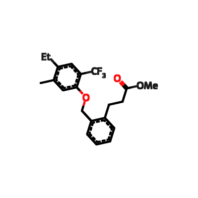 CCc1cc(C(F)(F)F)c(OCc2ccccc2CCC(=O)OC)cc1C